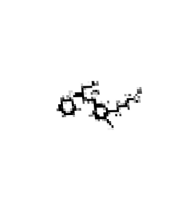 CCCC(=Nc1ccccc1)OC(=O)c1ccc(C)c(CCCCOC)c1